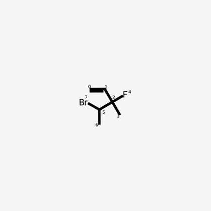 C=CC(C)(F)C(C)Br